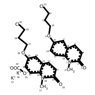 Cn1c(=O)ccc2cc(OCCCCl)ccc21.Cn1c(=O)ccc2cc(OCCCCl)ccc21.O=C([O-])[O-].[K+].[K+]